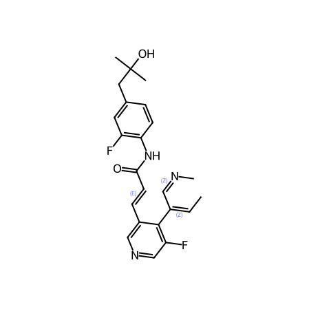 C/C=C(\C=N/C)c1c(F)cncc1/C=C/C(=O)Nc1ccc(CC(C)(C)O)cc1F